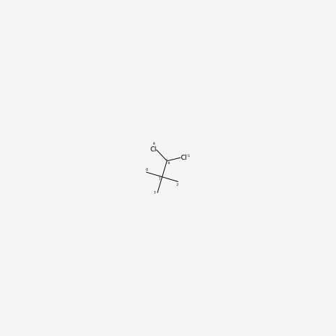 CC(C)(C)[C](Cl)Cl